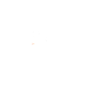 C1CCCCC(C2CCCCCCCP2)CCC1.c1ccsc1